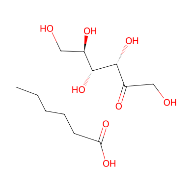 CCCCCC(=O)O.O=C(CO)[C@@H](O)[C@H](O)[C@H](O)CO